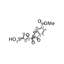 COC(=O)c1ccc2c(=O)n(C(=O)c3cc(S(=O)(=O)O)co3)sc2c1